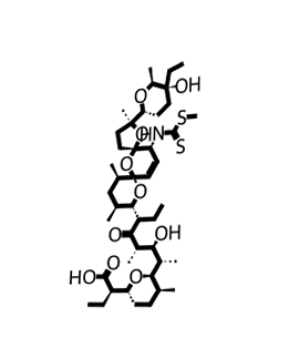 CCC(C(=O)[C@@H](C)[C@@H](O)[C@H](C)[C@@H]1O[C@@H]([C@@H](CC)C(=O)O)CC[C@@H]1C)[C@H]1O[C@]2(C=C[C@@H](NC(=S)SC)[C@]3(CC[C@@](C)([C@H]4CC[C@](O)(CC)[C@H](C)O4)O3)O2)[C@H](C)C[C@@H]1C